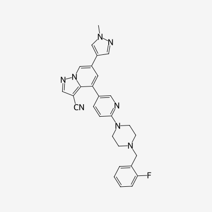 Cn1cc(-c2cc(-c3ccc(N4CCN(Cc5ccccc5F)CC4)nc3)c3c(C#N)cnn3c2)cn1